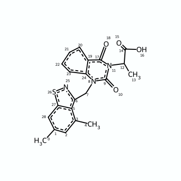 Cc1cc(C)c2c(Cn3c(=O)n(C(C)C(=O)O)c(=O)c4ccccc43)nsc2c1